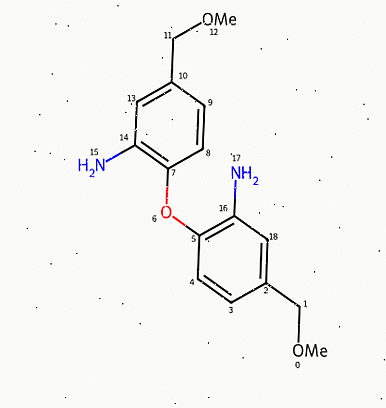 COCc1ccc(Oc2ccc(COC)cc2N)c(N)c1